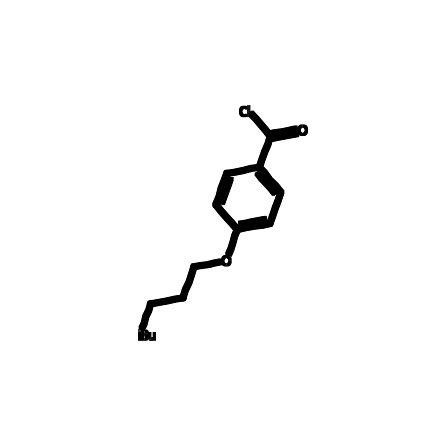 CCC(C)CCCOc1ccc(C(=O)Cl)cc1